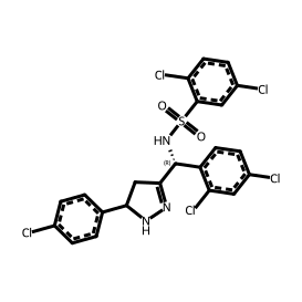 O=S(=O)(N[C@@H](C1=NNC(c2ccc(Cl)cc2)C1)c1ccc(Cl)cc1Cl)c1cc(Cl)ccc1Cl